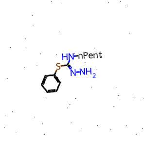 CCCCCNC(=NN)Sc1ccccc1